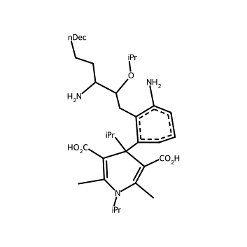 CCCCCCCCCCCCC(N)C(Cc1c(N)cccc1C1(C(C)C)C(C(=O)O)=C(C)N(C(C)C)C(C)=C1C(=O)O)OC(C)C